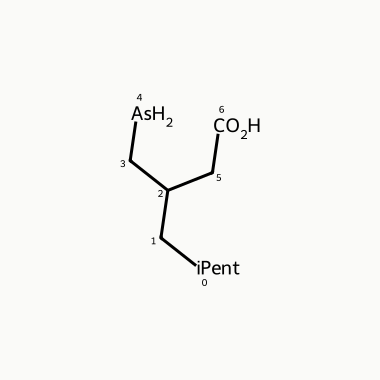 CCCC(C)CC(C[AsH2])CC(=O)O